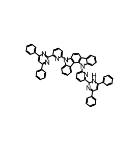 C1=C(c2ccccc2)NC(c2cccc(-n3c4ccccc4c4ccc5c(c6ccccc6n5-c5cccc(-c6nc(-c7ccccc7)cc(-c7ccccc7)n6)n5)c43)n2)N=C1c1ccccc1